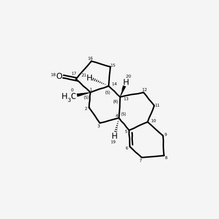 C[C@]12CC[C@@H]3C4=CCCCC4CC[C@H]3[C@@H]1CCC2=O